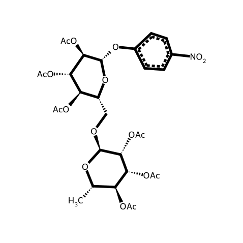 CC(=O)O[C@@H]1[C@@H](OC(C)=O)[C@H](C)O[C@@H](OC[C@H]2O[C@@H](Oc3ccc([N+](=O)[O-])cc3)[C@H](OC(C)=O)[C@@H](OC(C)=O)[C@@H]2OC(C)=O)[C@@H]1OC(C)=O